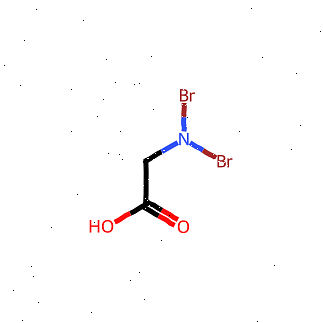 O=C(O)CN(Br)Br